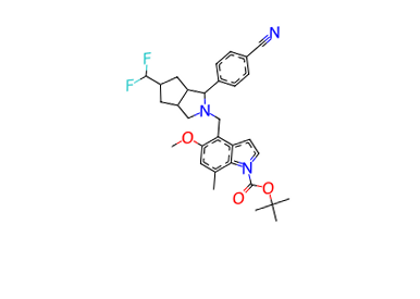 COc1cc(C)c2c(ccn2C(=O)OC(C)(C)C)c1CN1CC2CC(C(F)F)CC2C1c1ccc(C#N)cc1